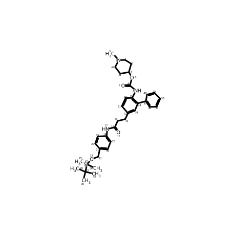 CN1CCC(OC(=O)Nc2ccc(CCC(=O)Nc3ccc(CO[Si](C)(C)C(C)(C)C)cc3)cc2-c2ccccc2)CC1